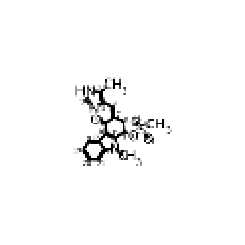 Cc1[nH]cnc1/C=C1/CC(OS(C)(=O)=O)c2c(c3ccccc3n2C)C1=O